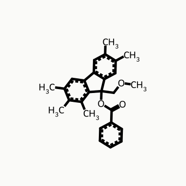 COCC1(OC(=O)c2ccccc2)c2cc(C)c(C)cc2-c2cc(C)c(C)c(C)c21